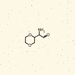 NC([C]=O)C1COCCO1